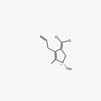 C=CCC1=C(C)[C@@H](OC(C)=O)CC1=C(Cl)Cl